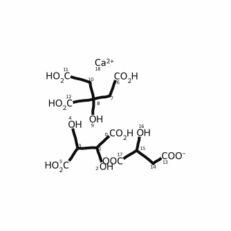 O=C(O)C(O)C(O)C(=O)O.O=C(O)CC(O)(CC(=O)O)C(=O)O.O=C([O-])CC(O)C(=O)[O-].[Ca+2]